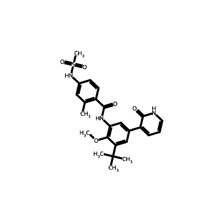 COc1c(NC(=O)c2ccc(NS(C)(=O)=O)cc2C)cc(-c2ccc[nH]c2=O)cc1C(C)(C)C